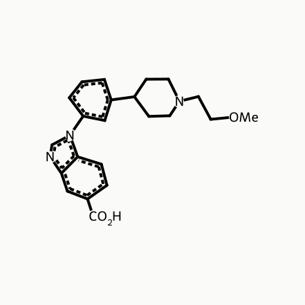 COCCN1CCC(c2cccc(-n3cnc4cc(C(=O)O)ccc43)c2)CC1